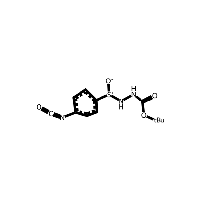 CC(C)(C)OC(=O)NN[S+]([O-])c1ccc(N=C=O)cc1